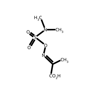 CC(=NOS(=O)(=O)N(C)C)C(=O)O